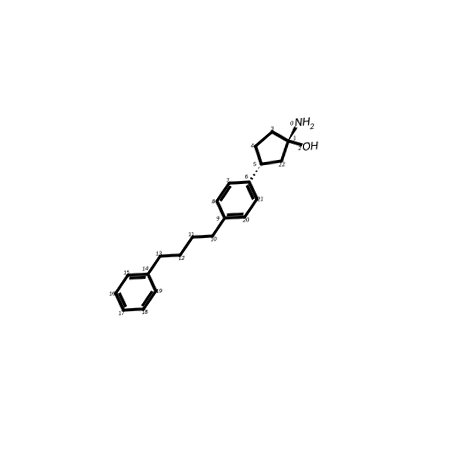 N[C@]1(O)CC[C@@H](c2ccc(CCCCc3ccccc3)cc2)C1